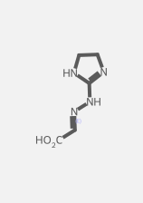 O=C(O)/C=N/NC1=NCCN1